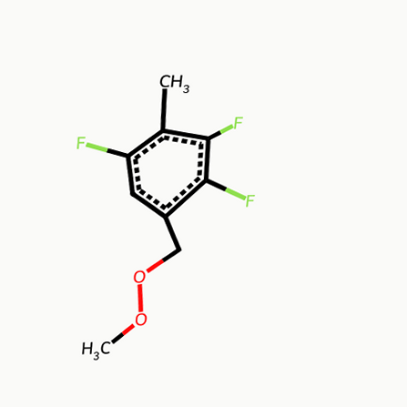 COOCc1cc(F)c(C)c(F)c1F